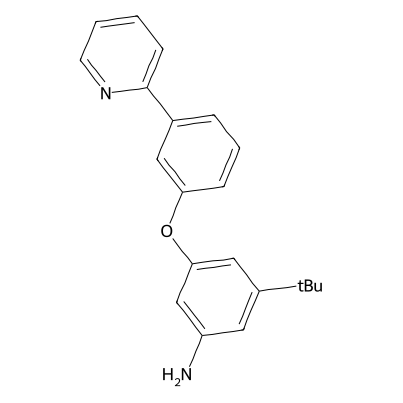 CC(C)(C)c1cc(N)cc(Oc2cccc(-c3ccccn3)c2)c1